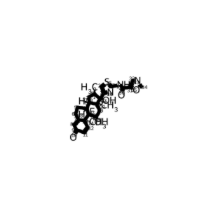 C[C@@H]1C[C@H]2[C@@H]3CCC4=CC(=O)C=C[C@]4(C)[C@@]3(F)[C@@H](O)C[C@]2(C)[C@@]1(O)c1csc(NC(=O)c2cnco2)n1